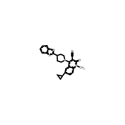 Cn1c(=O)c(C#N)c(N2CCC(c3nc4ccccc4s3)CC2)c2cc(C3CC3)ccc21